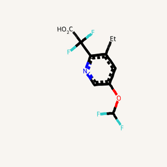 CCc1cc(OC(F)F)cnc1C(F)(F)C(=O)O